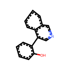 Oc1ccccc1-c1cncc2ccccc12